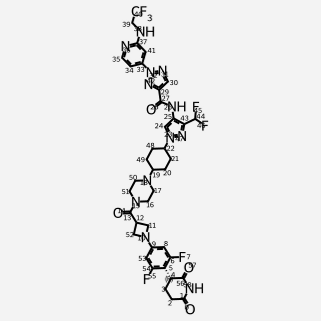 O=C1CC[C@H](c2c(F)cc(N3CC(C(=O)N4CCN(C5CCC(n6cc(NC(=O)c7cnn(-c8ccnc(NCC(F)(F)F)c8)n7)c(C(F)F)n6)CC5)CC4)C3)cc2F)C(=O)N1